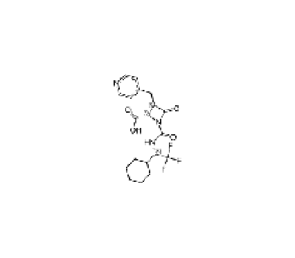 O=C(O)[C@@H]1[C@@H](Cc2ccncc2)C(=O)N1C(=O)N[C@@H](C1CCCCC1)C(F)(F)F